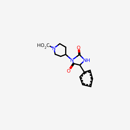 O=C(O)N1CCC(N2C(=O)NC(c3ccccc3)C2=O)CC1